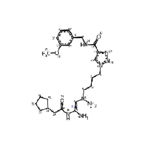 N/C(=C\N(N)CCCCn1cc(C(=O)NCc2cccc(OC(F)(F)F)c2)nn1)NC(=O)CC1CCCC1